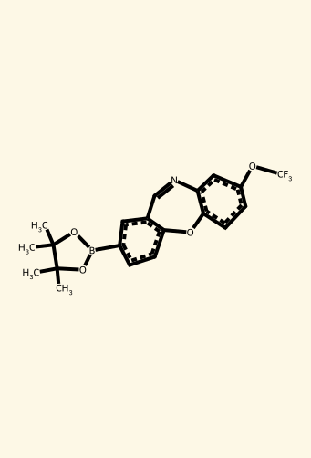 CC1(C)OB(c2ccc3c(c2)C=Nc2cc(OC(F)(F)F)ccc2O3)OC1(C)C